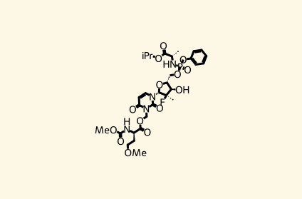 COCC[C@@H](NC(=O)OC)C(=O)OCn1c(=O)ccn([C@@H]2O[C@H](COP(=O)(N[C@@H](C)C(=O)OC(C)C)Oc3ccccc3)[C@@H](O)[C@@]2(C)F)c1=O